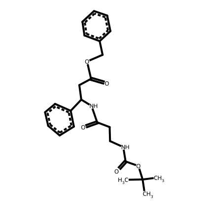 CC(C)(C)OC(=O)NCCC(=O)NC(CC(=O)OCc1ccccc1)c1ccccc1